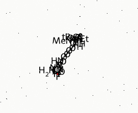 CC[C@H](NC(=O)[C@H]1C[C@@H](NC(=O)CCOCCOCCOCCOCCC(=O)NCCn2cc3c(n2)CN(C)C(=O)c2ccc(F)cc2[C@H]2CCCN2c2cc-3cnc2N)CN1C(=O)[C@H](NC(=O)[C@@H](C)NC)C(C)(C)C)c1ccccc1